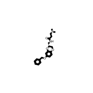 CN(C)CCC(=O)NC[C@@H]1COc2ccc(OCc3ccccc3)cc2O1